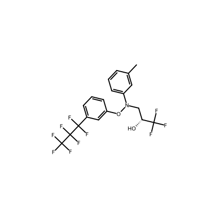 Cc1cccc(N(C[C@@H](O)C(F)(F)F)Oc2cccc(C(F)(F)C(F)(F)C(F)(F)F)c2)c1